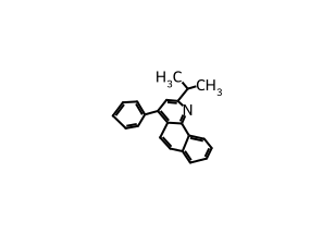 CC(C)c1cc(-c2ccccc2)c2ccc3ccccc3c2n1